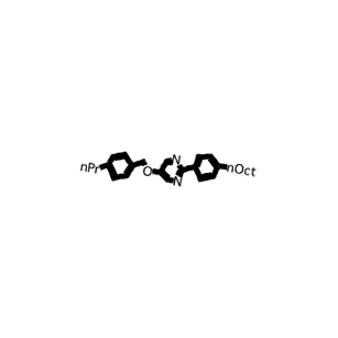 CCCCCCCCc1ccc(-c2ncc(OCc3ccc(CCC)cc3)cn2)cc1